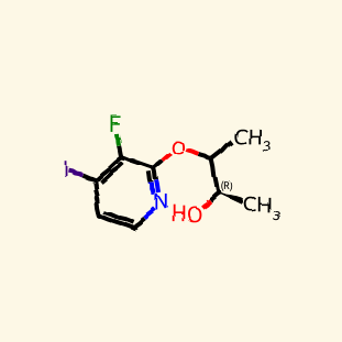 CC(Oc1nccc(I)c1F)[C@@H](C)O